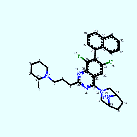 C[C@H]1CCCCN1CCCc1nc(N2CC3CCC(C2)N3)c2cc(Cl)c(-c3cccc4ccccc34)c(F)c2n1